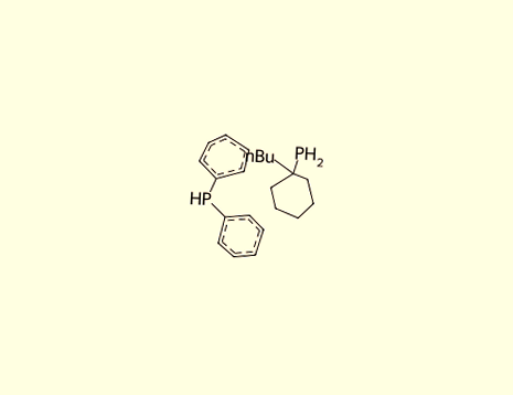 CCCCC1(P)CCCCC1.c1ccc(Pc2ccccc2)cc1